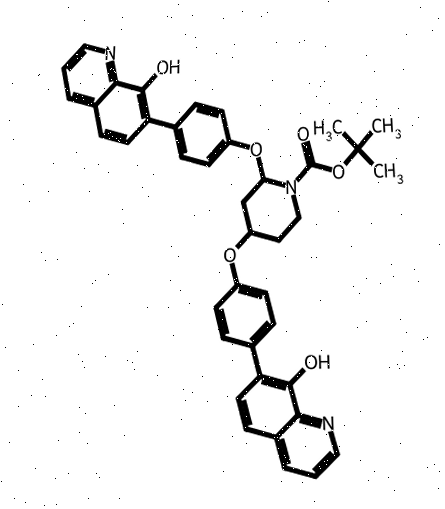 CC(C)(C)OC(=O)N1CCC(Oc2ccc(-c3ccc4cccnc4c3O)cc2)CC1Oc1ccc(-c2ccc3cccnc3c2O)cc1